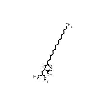 CCCCCCCCCCCCCCCC(=O)NC(CC(C)C)C(=O)O